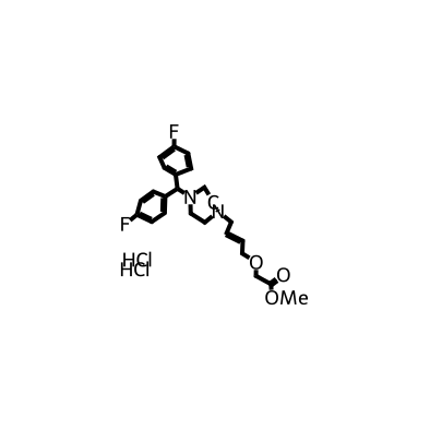 COC(=O)COCC=CCN1CCN(C(c2ccc(F)cc2)c2ccc(F)cc2)CC1.Cl.Cl